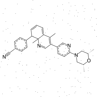 CC1=C(c2ccc(N3C[C@@H](C)O[C@@H](C)C3)nc2)C=NC2(C)C1=CC=CC2c1ccc(C#N)cc1